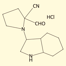 Cl.N#CC1(C=O)CCCN1C1CNC2CCCCC21